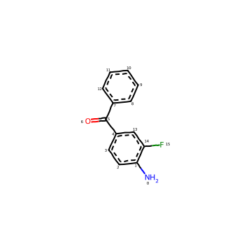 Nc1ccc(C(=O)c2ccccc2)cc1F